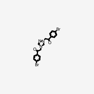 O=C(CN1C=NN(CC(=O)c2ccc(Br)cc2)C1)c1ccc(Br)cc1